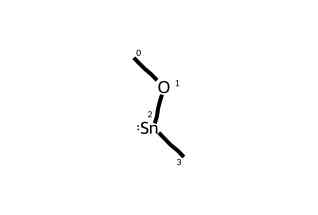 C[O][Sn][CH3]